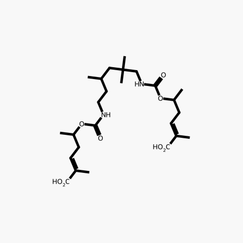 CC(=CCC(C)OC(=O)NCCC(C)CC(C)(C)CNC(=O)OC(C)CC=C(C)C(=O)O)C(=O)O